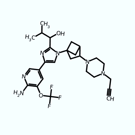 C#CCN1CCN(C2CC3(n4cc(-c5cnc(N)c(OC(F)(F)F)c5)nc4C(O)C(C)C)CC2C3)CC1